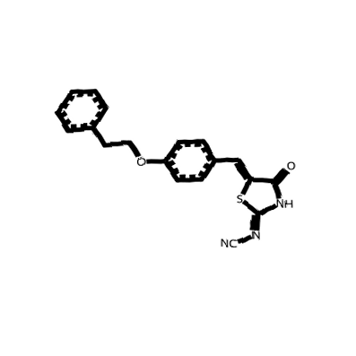 N#CN=C1NC(=O)C(=Cc2ccc(OCCc3ccccc3)cc2)S1